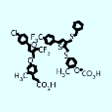 Cc1cc(OCc2cc(-c3ccc(Cl)cc3)oc2C(F)(F)F)ccc1CCC(=O)O.Cc1cc(SCc2sc(-c3ccc(C(F)(F)F)cc3)cc2CSCc2ccccc2)ccc1OCC(=O)O